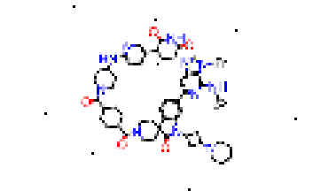 CC(C)n1cnc2cc(-c3ccc4c(c3)N(C3CC(N5CCCCC5)C3)C(=O)C43CCN(C(=O)C4CCC(C(=O)N5CCC(Nc6ccc(C7CCC(=O)NC7=O)cn6)CC5)CC4)CC3)nc(NC3CC3)c21